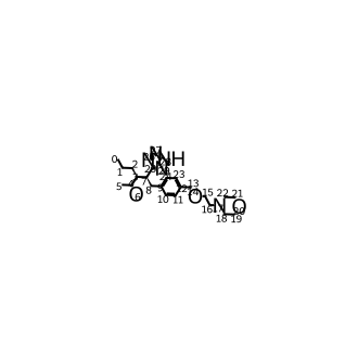 CCC[C@H](C(C)=O)[C@H](Cc1ccc(COCCN2CCOCC2)cc1)c1nn[nH]n1